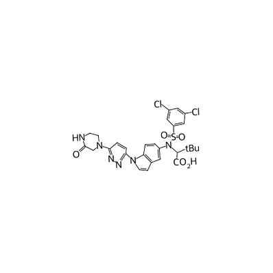 CC(C)(C)C(C(=O)O)N(c1ccc2c(ccn2-c2ccc(N3CCNC(=O)C3)nn2)c1)S(=O)(=O)c1cc(Cl)cc(Cl)c1